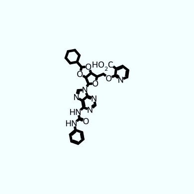 O=C(Nc1ccccc1)Nc1ncnc2c1ncn2C1OC(COc2ncccc2C(=O)O)C2OC(C3CCCCC3)OC21